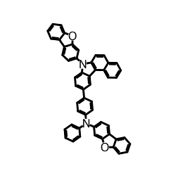 c1ccc(N(c2ccc(-c3ccc4c(c3)c3c5ccccc5ccc3n4-c3ccc4c(c3)oc3ccccc34)cc2)c2ccc3c(c2)oc2ccccc23)cc1